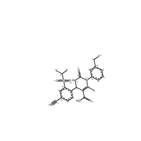 CC1=C(C(=O)O)C(c2ccc(C#N)cc2S(=O)(=O)C(C)C)NC(=O)N1c1cccc(CF)c1